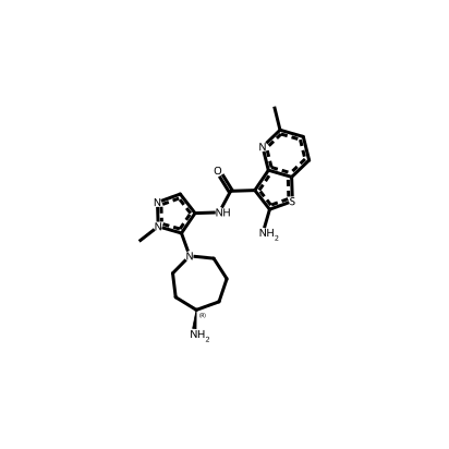 Cc1ccc2sc(N)c(C(=O)Nc3cnn(C)c3N3CCC[C@@H](N)CC3)c2n1